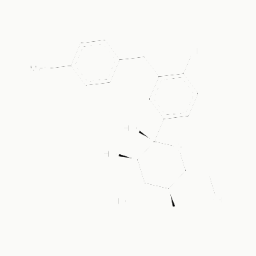 CSc1ccc(Cc2cc([C@]3(O)O[C@H](CO)[C@@H](O)[C@H](O)[C@H]3O)ccc2C)cc1